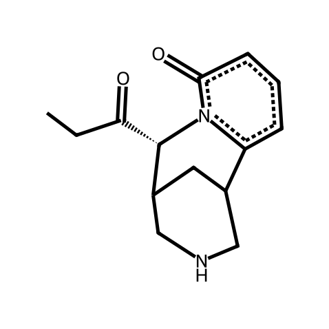 CCC(=O)[C@H]1C2CNCC(C2)c2cccc(=O)n21